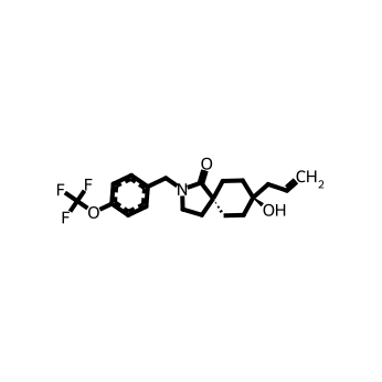 C=CC[C@]1(O)CC[C@@]2(CCN(Cc3ccc(OC(F)(F)F)cc3)C2=O)CC1